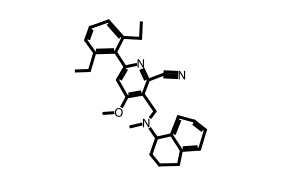 CCc1cccc(CC)c1-c1cc(OC)c(CN(C)C2CCCc3ccccc32)c(C#N)n1